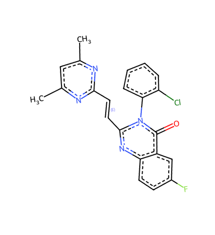 Cc1cc(C)nc(/C=C/c2nc3ccc(F)cc3c(=O)n2-c2ccccc2Cl)n1